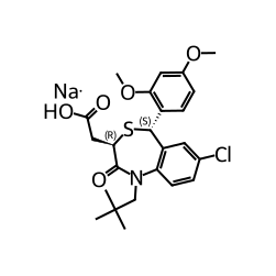 COc1ccc([C@H]2S[C@H](CC(=O)O)C(=O)N(CC(C)(C)C)c3ccc(Cl)cc32)c(OC)c1.[Na]